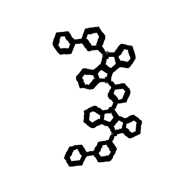 c1ccc(-c2cccc(-n3c4ccccc4c4c3c3ccccc3n4-c3cccc(-n4c5ccccc5c5c4c4ccccc4n5-c4cccc(-c5ccccc5)c4)c3)c2)cc1